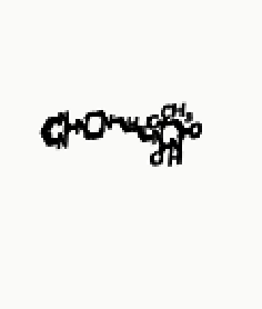 CC1(C)CC(=O)NC(=O)N1CCCCN1CCN(c2ncccn2)CC1